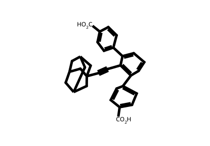 O=C(O)c1ccc(-c2cccc(-c3ccc(C(=O)O)cc3)c2C#CC23CC4CC(CC(C4)C2)C3)cc1